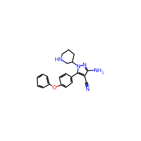 N#Cc1c(N)nn(C2CCCNC2)c1-c1ccc(Oc2ccccc2)cc1